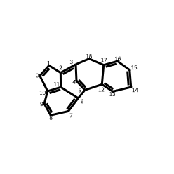 C1=Cc2c3cc(c4cccc1c24)-c1ccccc1C3